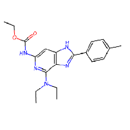 CCOC(=O)Nc1cc2[nH]c(-c3ccc(C)cc3)nc2c(N(CC)CC)n1